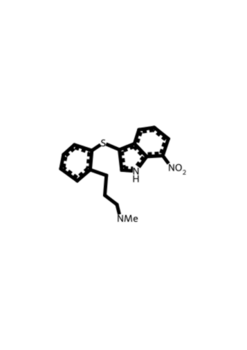 CNCCCc1ccccc1Sc1c[nH]c2c([N+](=O)[O-])cccc12